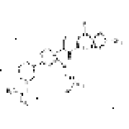 CCOc1nc(N2CCC[C@@H](CN(C)C)C2)ncc1C(=O)Nc1cc(F)c2nc(C)cn2c1.O=CO